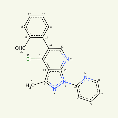 Cc1nn(-c2ccccn2)c2ncc(-c3ccccc3C=O)c(Cl)c12